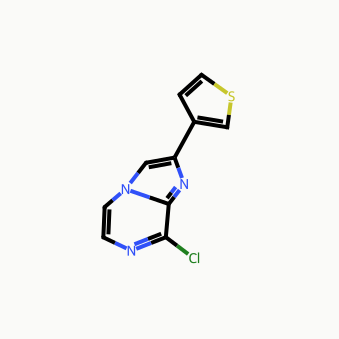 Clc1nccn2cc(-c3ccsc3)nc12